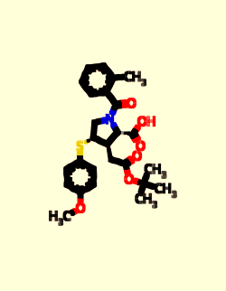 COc1ccc(S[C@@H]2CN(C(=O)c3ccccc3C)[C@H](C(=O)O)[C@H]2CC(=O)OC(C)(C)C)cc1